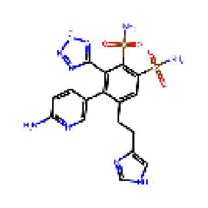 Nc1ccc(-c2c(CCc3c[nH]cn3)cc(S(N)(=O)=O)c(S(N)(=O)=O)c2-c2nn[nH]n2)cn1